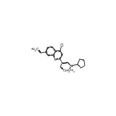 C=C/C(=C\N(C)C1CCCC1)c1cc(Cl)c2ccc(C=C)cc2n1